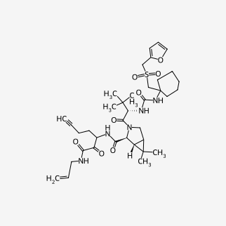 C#CCCC(NC(=O)[C@@H]1[C@@H]2C(CN1C(=O)[C@@H](NC(=O)NC1(CS(=O)(=O)Cc3ccco3)CCCCC1)C(C)(C)C)C2(C)C)C(=O)C(=O)NCC=C